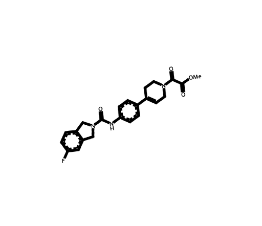 COC(=O)C(=O)N1CC=C(c2ccc(NC(=O)N3Cc4ccc(F)cc4C3)cc2)CC1